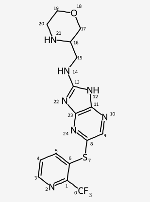 FC(F)(F)c1ncccc1Sc1cnc2[nH]c(NCC3COCCN3)nc2n1